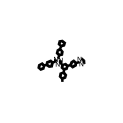 Cc1ccc(-c2cc(-c3ccc(-c4ncccn4)cc3)cc(-c3nc(-c4ccc(-c5ccccc5)cc4)nc(-c4ccc(-c5ccccc5)cc4)n3)c2)cc1